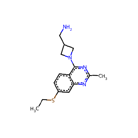 CCSc1ccc2c(N3CC(CN)C3)nc(C)nc2c1